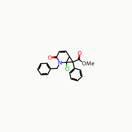 COC(=O)C1(c2ccccc2)C2C=CC(=O)N(Cc3ccccc3)C21Cl